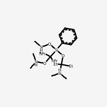 CCCC(CCC)(O[SiH](C)C)[Si](O[SiH](C)C)(OC(CC)(CC)[SiH](C)C)c1ccccc1